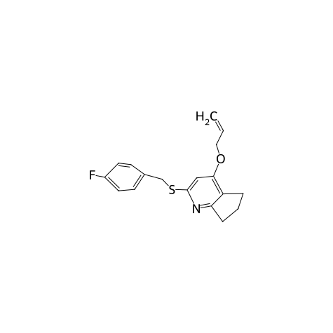 C=CCOc1cc(SCc2ccc(F)cc2)nc2c1CCC2